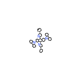 c1ccc(-c2ccc(-c3c4ccc(-n5c6ccccc6c6ccccc65)cc4c(-c4ccc(-c5ccccc5)cn4)c4ccc(-n5c6ccccc6c6ccccc65)cc34)nc2)cc1